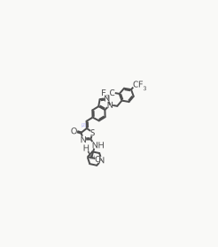 O=C1N=C(N[C@@H]2CN3CCC2CC3)S/C1=C\c1ccc2c(cnn2Cc2ccc(C(F)(F)F)cc2C(F)(F)F)c1